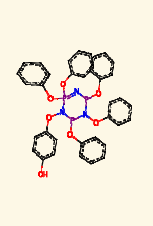 Oc1ccc(ON2P(Oc3ccccc3)N(Oc3ccccc3)P(Oc3ccccc3)N=P2(Oc2ccccc2)Oc2ccccc2)cc1